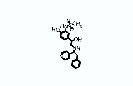 CS(=O)(=O)Nc1cc(C(O)CN[C@H](Cc2ccccc2)c2ccncc2)ccc1O